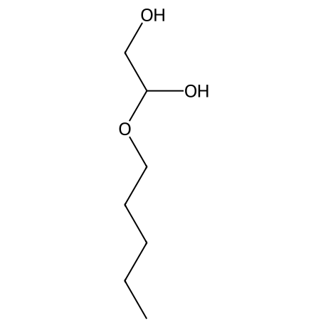 CCCCCOC(O)CO